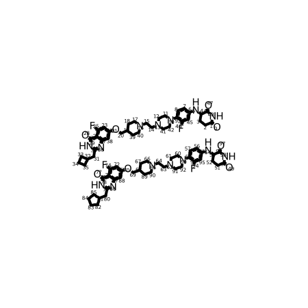 O=C1CCC(Nc2ccc(N3CCN(CCN4CCC(COc5cc(F)c6c(=O)[nH]c(CC7CCC7)nc6c5)CC4)CC3)c(F)c2)C(=O)N1.O=C1CCC(Nc2ccc(N3CCN(CCN4CCC(COc5cc(F)c6c(=O)[nH]c(CC7CCCC7)nc6c5)CC4)CC3)c(F)c2)C(=O)N1